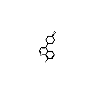 O=C1CCC(c2ccnc3c(F)cccc23)CC1